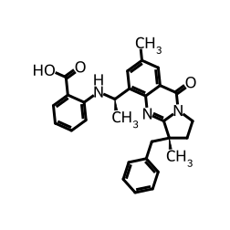 Cc1cc([C@@H](C)Nc2ccccc2C(=O)O)c2nc3n(c(=O)c2c1)CC[C@]3(C)Cc1ccccc1